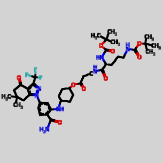 CC1(C)CC(=O)c2c(C(F)(F)F)nn(-c3ccc(C(N)=O)c(NC4CCC(OC(=O)CCNC(=O)[C@H](CCCNC(=O)OC(C)(C)C)NC(=O)OC(C)(C)C)CC4)c3)c2C1